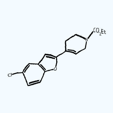 CCOC(=O)N1CC=C(c2cc3cc(Cl)ccc3o2)CC1